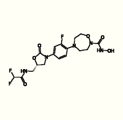 O=C(NC[C@H]1CN(c2ccc(N3CCON(C(=O)NO)CC3)c(F)c2)C(=O)O1)C(F)F